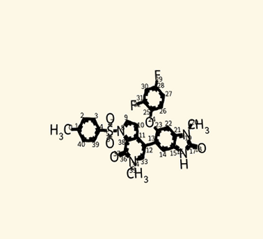 Cc1ccc(S(=O)(=O)n2ccc3c(-c4cc5[nH]c(=O)n(C)c5cc4Oc4ccc(F)cc4F)cn(C)c(=O)c32)cc1